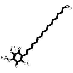 CCCCCCCCCCCC=CC=CC=CC1=C(C)C(=O)C(OC)=C(OC)C1=O